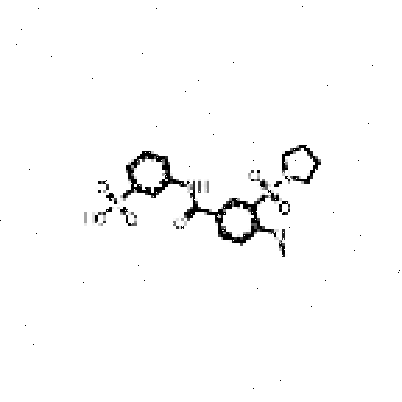 COc1ccc(C(=O)Nc2cccc(S(=O)(=O)O)c2)cc1S(=O)(=O)N1CCCC1